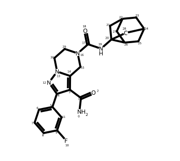 NC(=O)c1c(-c2cccc(F)c2)nn2c1CN(C(=O)NC13CC4CC(CC1C4)C3)CC2